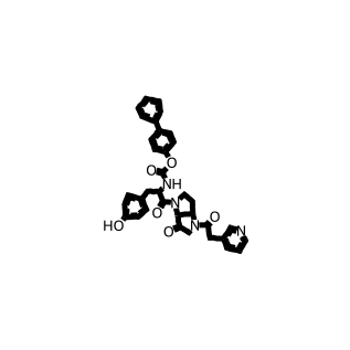 O=C(NC(Cc1ccc(O)cc1)C(=O)N1CCC2C1C(=O)CN2C(=O)Cc1cccnc1)Oc1ccc(-c2ccccc2)cc1